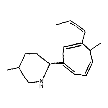 C/C=C\C1=CC([C@@H]2CCC(C)CN2)=CC=CC1C